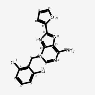 Nc1ncn(Cc2c(Cl)cccc2Cl)c2nc(-c3ccco3)nc1-2